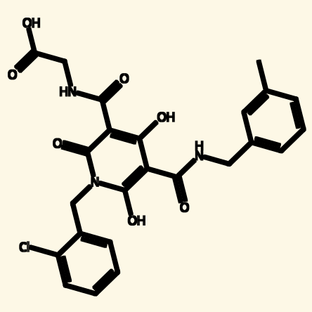 Cc1cccc(CNC(=O)c2c(O)c(C(=O)NCC(=O)O)c(=O)n(Cc3ccccc3Cl)c2O)c1